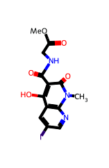 COC(=O)CNC(=O)c1c(O)c2cc(I)cnc2n(C)c1=O